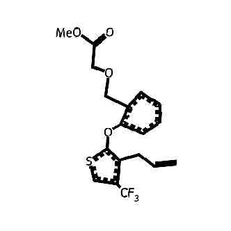 C=CCc1c(C(F)(F)F)csc1Oc1ccccc1COCC(=O)OC